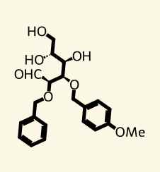 COc1ccc(CO[C@H]([C@H](O)[C@H](O)CO)[C@H](C=O)OCc2ccccc2)cc1